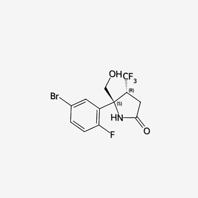 O=C1C[C@@H](C(F)(F)F)[C@@](CO)(c2cc(Br)ccc2F)N1